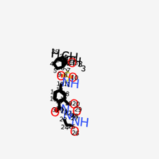 CC1(C)[C@@H]2CC[C@]1(CS(=O)(=O)NCc1ccc3c(c1)C(=O)N(N1CCC(=O)NC1=O)C3=O)C(=O)C2